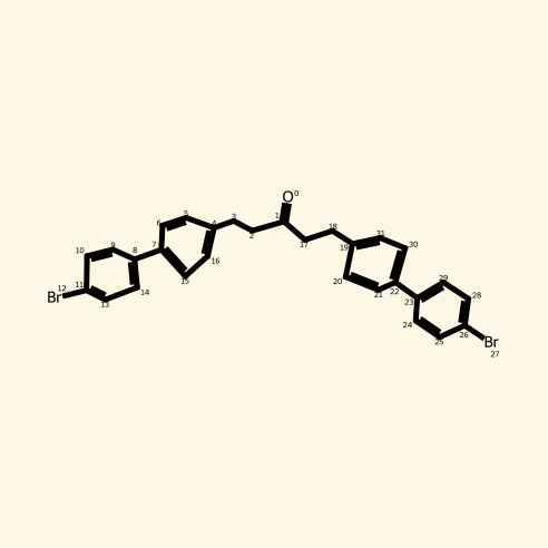 O=C(CCc1ccc(-c2ccc(Br)cc2)cc1)CCc1ccc(-c2ccc(Br)cc2)cc1